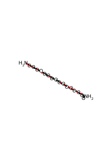 NCCOCCOCCOCCOCCOCCOCCOCCOCCOCCOCCOCCOCCOCCOCCOCC(N)=O